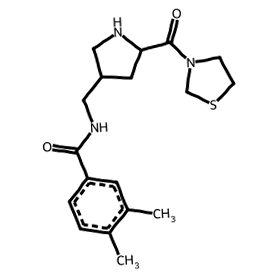 Cc1ccc(C(=O)NCC2CNC(C(=O)N3CCSC3)C2)cc1C